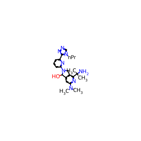 CCCn1cnnc1-c1cccc(N2Cc3c(cc(N(C)C)nc3C(C)(C)N)C2O)n1